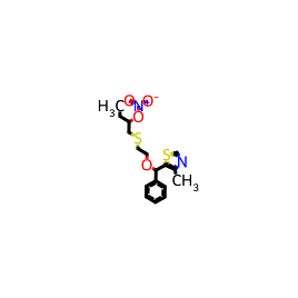 CCC(CSCCOC(c1ccccc1)c1scnc1C)O[N+](=O)[O-]